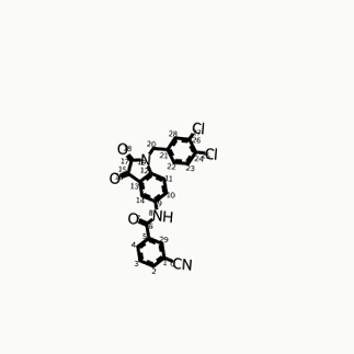 N#Cc1cccc(C(=O)Nc2ccc3c(c2)C(=O)C(=O)N3Cc2ccc(Cl)c(Cl)c2)c1